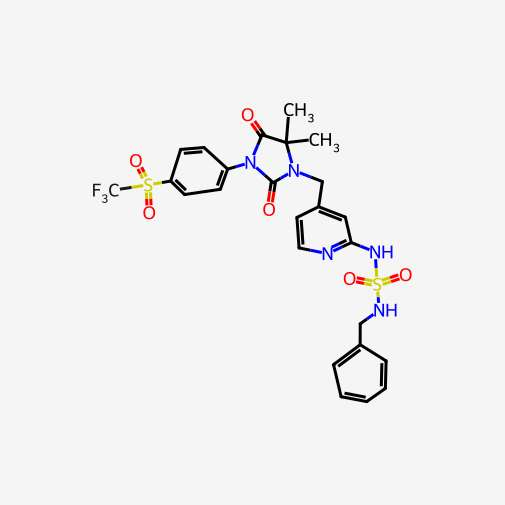 CC1(C)C(=O)N(c2ccc(S(=O)(=O)C(F)(F)F)cc2)C(=O)N1Cc1ccnc(NS(=O)(=O)NCc2ccccc2)c1